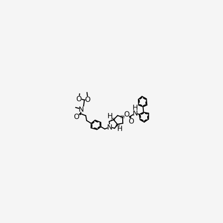 COC(CN(C)C(=O)CCc1ccc(CN2C[C@H]3C[C@H](OC(=O)Nc4ccccc4-c4ccccc4)C[C@H]3C2)cc1)OC